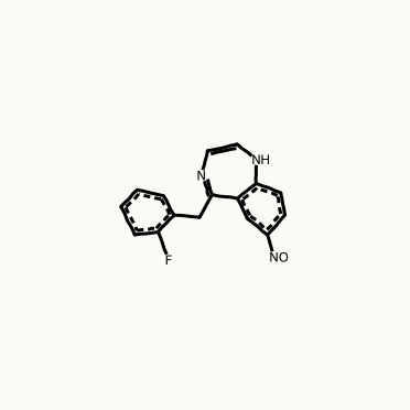 O=Nc1ccc2c(c1)C(Cc1ccccc1F)=NC=CN2